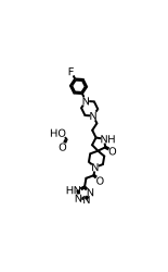 O=C(Cc1nnn[nH]1)N1CCC2(CC1)CC(CCN1CCN(c3ccc(F)cc3)CC1)NC2=O.O=CO